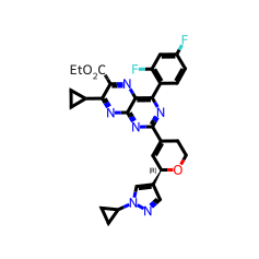 CCOC(=O)c1nc2c(-c3ccc(F)cc3F)nc(C3=C[C@H](c4cnn(C5CC5)c4)OCC3)nc2nc1C1CC1